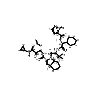 CCC[C@H](NC(=O)[C@@H]1C[C@@H]2CCCC[C@@H]2N1C(=O)[C@@H](NC(=O)[C@@H](NC(=O)c1ccnn1C)C1CCCCC1)C(C)(C)C)C(=O)C(=O)NC1CC1